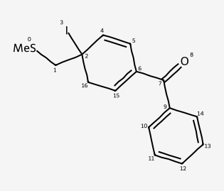 CSCC1(I)C=CC(C(=O)c2ccccc2)=CC1